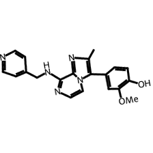 COc1cc(-c2c(C)nc3c(NCc4ccncc4)nccn23)ccc1O